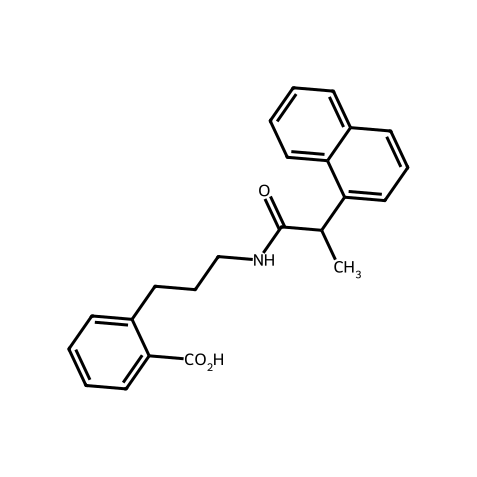 CC(C(=O)NCCCc1ccccc1C(=O)O)c1cccc2ccccc12